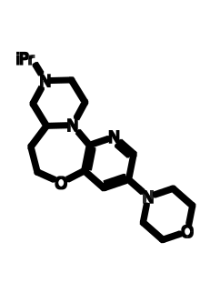 CC(C)N1CCN2c3ncc(N4CCOCC4)cc3OCCC2C1